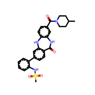 CC1CCN(C(=O)c2ccc3c(c2)NC(=O)c2ccc(-c4ccccc4NS(C)(=O)=O)cc2N3)CC1